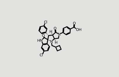 O=C(O)c1ccc(N2C[C@@H]3[C@H](C2=O)[C@@H](c2cccc(Cl)c2)[C@@]2(C(=O)Nc4cc(Cl)ccc42)N3CC2CCC2)cc1